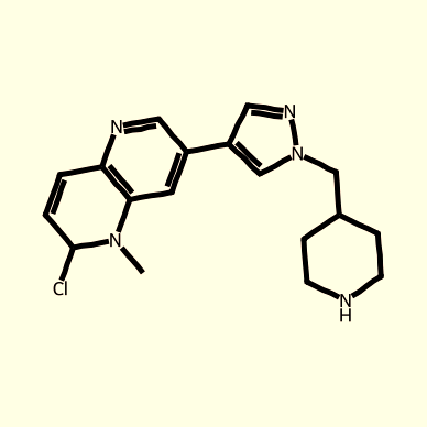 CN1c2cc(-c3cnn(CC4CCNCC4)c3)cnc2C=CC1Cl